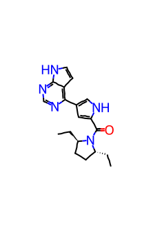 CC[C@@H]1CC[C@@H](CC)N1C(=O)c1cc(-c2ncnc3[nH]ccc23)c[nH]1